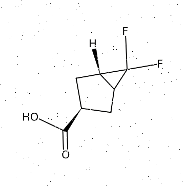 O=C(O)[C@@H]1CC2[C@H](C1)C2(F)F